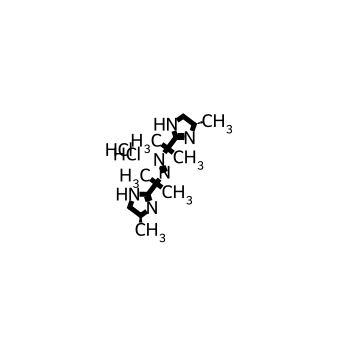 C[C@H]1CNC(C(C)(C)N=NC(C)(C)C2=N[C@@H](C)CN2)=N1.Cl.Cl